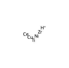 [Ce].[Cu].[H+].[Ni].[Ti].[Zr]